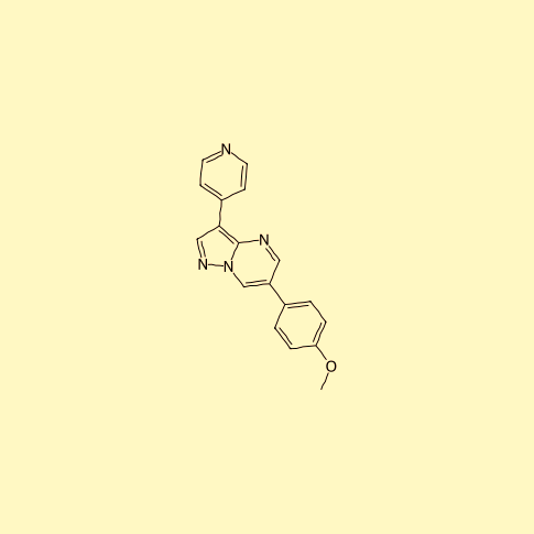 COc1ccc(-c2cnc3c(-c4ccncc4)cnn3c2)cc1